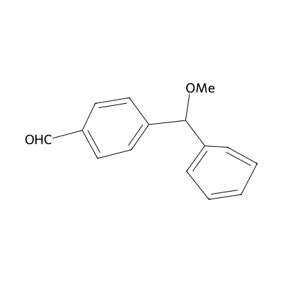 COC(c1ccccc1)c1ccc(C=O)cc1